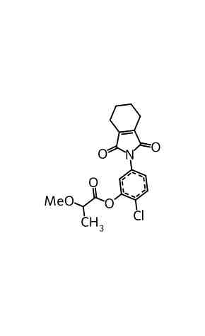 COC(C)C(=O)Oc1cc(N2C(=O)C3=C(CCCC3)C2=O)ccc1Cl